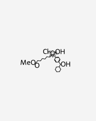 COC(=O)CCCCCC[C@@H]1[C@@H](c2ccc(C(O)C3CCCCC3)cc2)[C@H](O)C[C@@H]1Cl